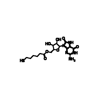 Nc1nc2c([nH]c(=O)n2[C@H]2O[C@@H](COC(=O)CCCCCS)C(O)C2O)c(=O)[nH]1